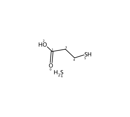 O=C(O)CCS.S